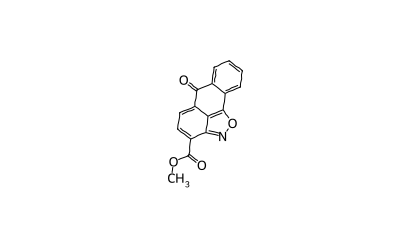 COC(=O)c1ccc2c3c(onc13)-c1ccccc1C2=O